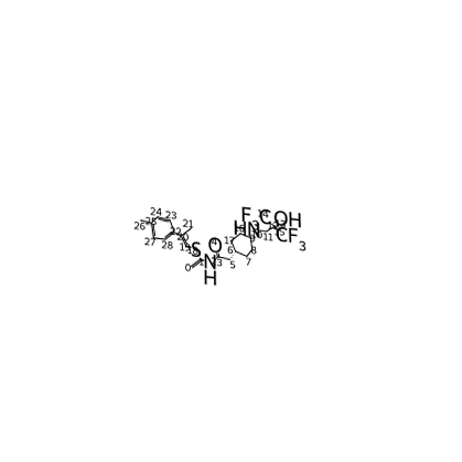 C=C(NC(=O)C[C@H]1CC[C@@H](NCC(O)(C(F)(F)F)C(F)(F)F)CC1)S/C=C(\C)c1ccc(C)cc1